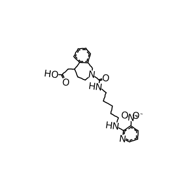 O=C(O)CC1CCN(C(=O)NCCCCCNc2ncccc2[N+](=O)[O-])Cc2ccccc21